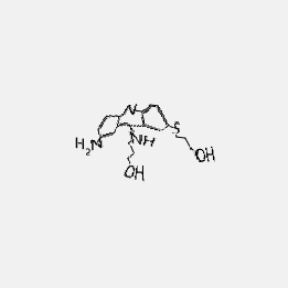 Nc1ccc2nc3ccc(SCCCO)cc3c(NCCCO)c2c1